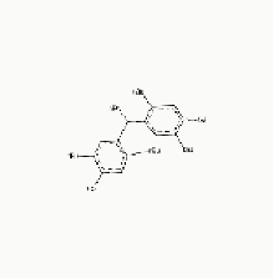 CCCCc1cc(O)c(C(C)(C)C)cc1C(CCC)c1cc(C(C)(C)C)c(O)cc1CCCC